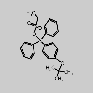 CCS(=O)(=O)OS(c1ccccc1)(c1ccccc1)c1ccc(OC(C)(C)C)cc1